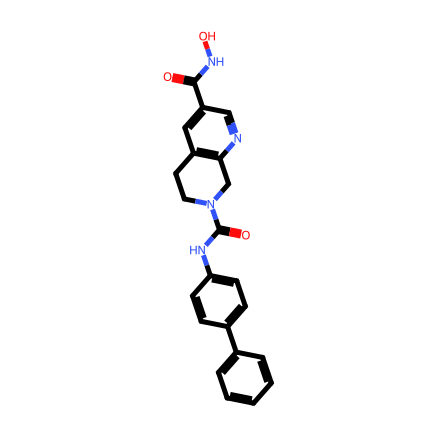 O=C(NO)c1cnc2c(c1)CCN(C(=O)Nc1ccc(-c3ccccc3)cc1)C2